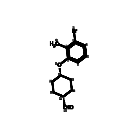 Cc1c(Br)cccc1O[C@H]1CC[C@@H](C=O)CC1